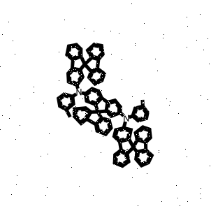 Cc1cccc(N(c2ccc3c(c2)C2(c4ccccc4-c4ccccc42)c2ccccc2-3)c2ccc3c(c2)C2(c4ccccc4-c4ccccc42)c2cc(N(c4cccc(C)c4)c4ccc5c(c4)C4(c6ccccc6-c6ccccc64)c4ccccc4-5)ccc2-3)c1